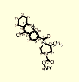 CCCOC(=O)N1CCN(C(=O)c2ccc3c(Cl)c4c(nc3c2)CCCC4)[C@@H](C)C1